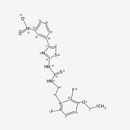 CCOc1ccc(F)c(CCNC(=S)Nc2nc(-c3cccc([N+](=O)[O-])c3)cs2)c1F